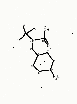 CC(C)(C)N(CC1CCC(N)CC1)C(=O)O